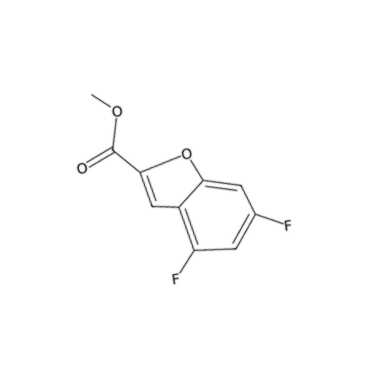 COC(=O)c1cc2c(F)cc(F)cc2o1